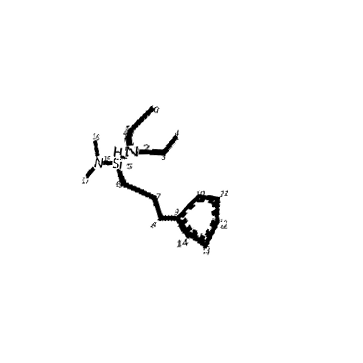 CCN(CC)[SiH](CCCc1ccccc1)N(C)C